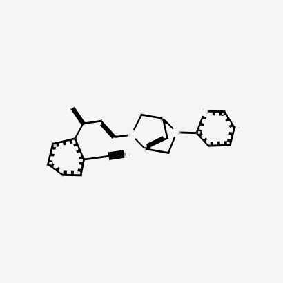 C=C(/C=C/N1CC2C=C1CN2c1ccccn1)c1ccccc1C#N